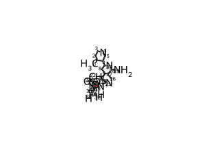 Cc1ccncc1-c1cc2cc(NC(=O)[C@@]34C5[C@H]3[C@H]4CN5S(C)(=O)=O)ncc2c(N)n1